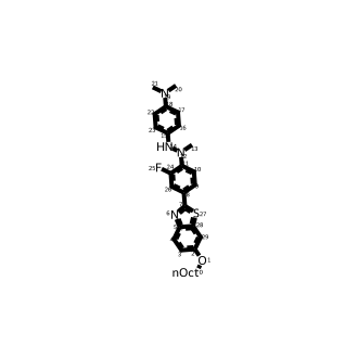 CCCCCCCCOc1ccc2nc(-c3ccc(N(C)Nc4ccc(N(C)C)cc4)c(F)c3)sc2c1